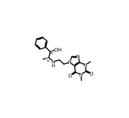 C[C@H](NCCn1cnc2c1c(=O)n(C)c(=O)n2C)[C@H](O)c1ccccc1